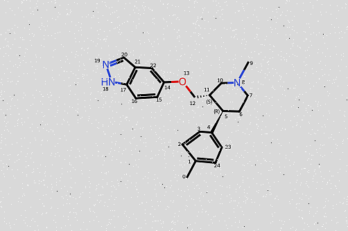 Cc1ccc([C@@H]2CCN(C)C[C@H]2COc2ccc3[nH]ncc3c2)cc1